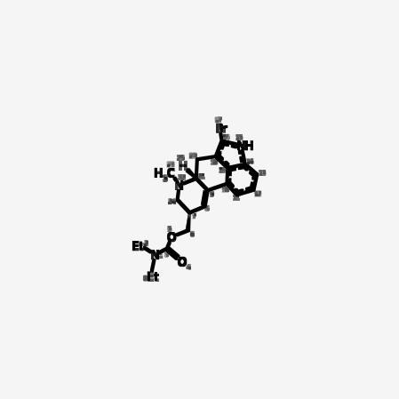 CCN(CC)C(=O)OC[C@@H]1C=C2c3cccc4[nH]c(Br)c(c34)C[C@H]2N(C)C1